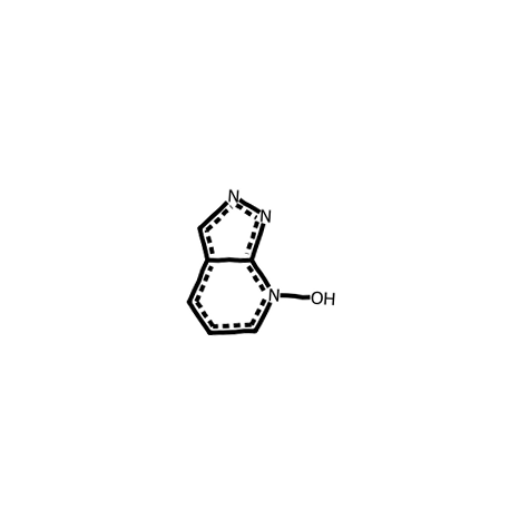 On1cccc2cnnc1-2